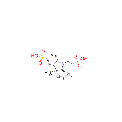 C=C1N(CCS(=O)(=O)O)c2ccc(S(=O)(=O)O)cc2C1(C)C